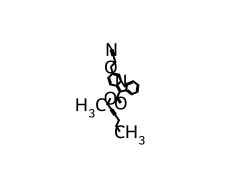 CCCC#CC(C)OC(=O)c1c2ccccc2n2cc(OCC#N)ccc12